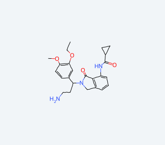 CCOc1cc(C(CCN)N2Cc3cccc(NC(=O)C4CC4)c3C2=O)ccc1OC